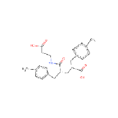 Cc1ccc(C[C@@H](C[C@H](Cc2ccc(C)cc2)C(=O)NCCC(=O)O)C(=O)O)cc1